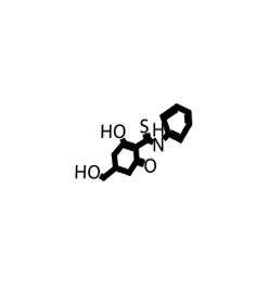 O=C1CC(CO)CC(O)=C1C(=S)Nc1ccccc1